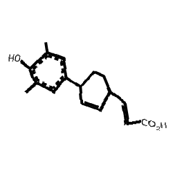 Cc1cc(C2C=CC(/C=C/C(=O)O)CC2)cc(C)c1O